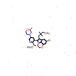 CO[C@@H](C)c1ncc(N2C[C@H](C)OC[C@H]2C)cc1-c1c(CC(C)(C)COC(C)=O)c2cc(Br)cc3c2n1CCO3